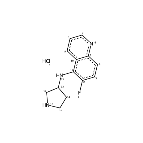 Cl.Fc1ccc2ncccc2c1NC1CCNC1